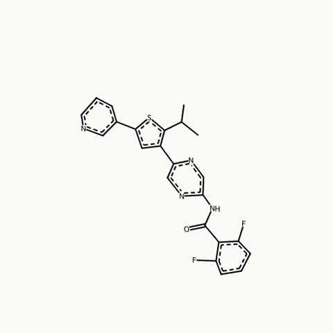 CC(C)c1sc(-c2cccnc2)cc1-c1cnc(NC(=O)c2c(F)cccc2F)cn1